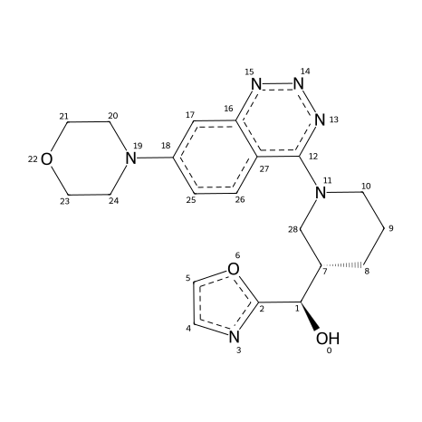 O[C@@H](c1ncco1)[C@H]1CCCN(c2nnnc3cc(N4CCOCC4)ccc23)C1